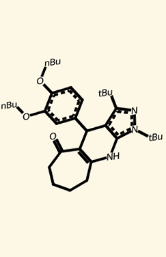 CCCCOc1ccc(C2C3=C(CCCCC3=O)Nc3c2c(C(C)(C)C)nn3C(C)(C)C)cc1OCCCC